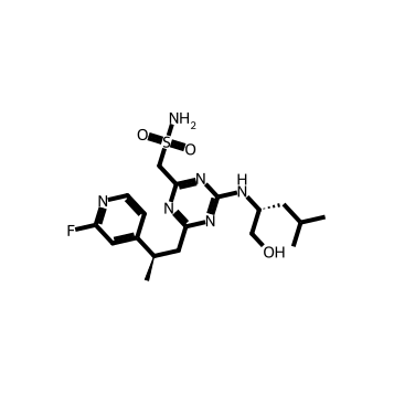 CC(C)C[C@H](CO)Nc1nc(C[C@@H](C)c2ccnc(F)c2)nc(CS(N)(=O)=O)n1